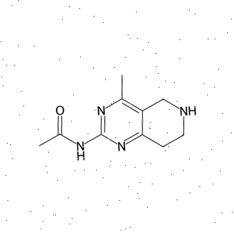 CC(=O)Nc1nc(C)c2c(n1)CCNC2